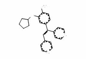 COc1ccc(C(=Cc2ccncc2)c2ccncc2)cc1OC1CCCC1